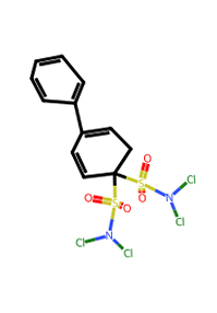 O=S(=O)(N(Cl)Cl)C1(S(=O)(=O)N(Cl)Cl)C=CC(c2ccccc2)=CC1